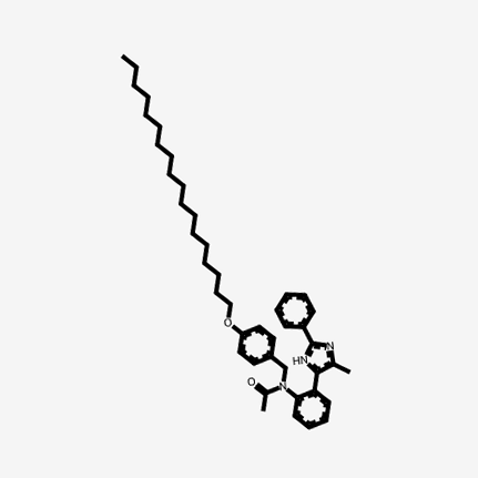 CCCCCCCCCCCCCCCCCCOc1ccc(CN(C(C)=O)c2ccccc2-c2[nH]c(-c3ccccc3)nc2C)cc1